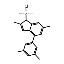 CC1=Cc2c(-c3cc(C)cc(C)c3)cc(C)cc2C1[Si](C)(C)Cl